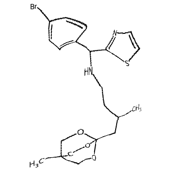 CC(CCNC(c1ccc(Br)cc1)c1nccs1)CC12OCC(C)(CO1)CO2